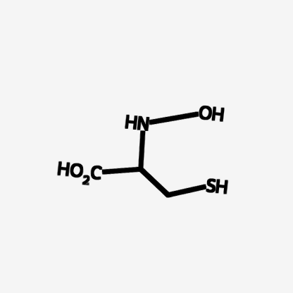 O=C(O)C(CS)NO